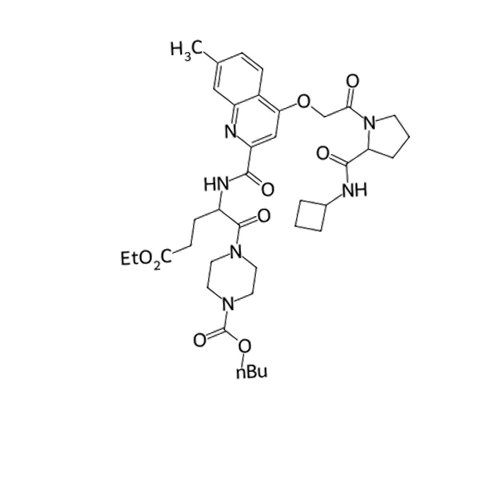 CCCCOC(=O)N1CCN(C(=O)C(CCC(=O)OCC)NC(=O)c2cc(OCC(=O)N3CCCC3C(=O)NC3CCC3)c3ccc(C)cc3n2)CC1